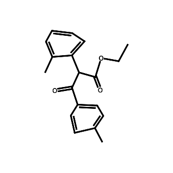 CCOC(=O)C(C(=O)c1ccc(C)cc1)c1ccccc1C